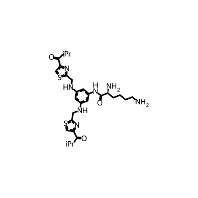 CC(C)C(=O)c1csc(CNc2cc(NCc3nc(C(=O)C(C)C)cs3)cc(NC(=O)[C@@H](N)CCCCN)c2)n1